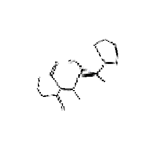 CC(=C1C(=O)CCCC1=O)/C(C#N)=C(\C)N1CCCC1